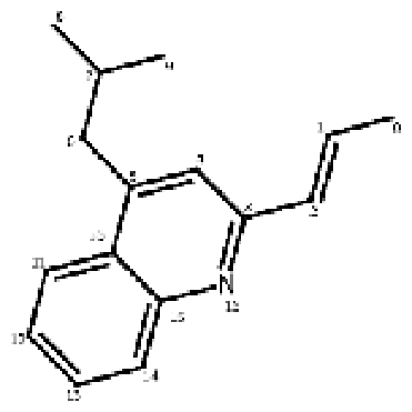 C/C=C/c1cc(CC(C)C)c2ccccc2n1